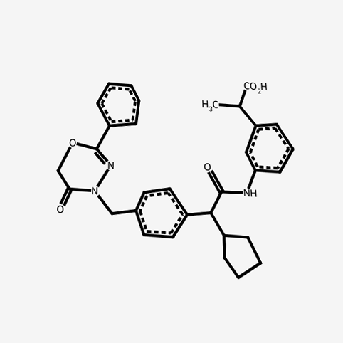 CC(C(=O)O)c1cccc(NC(=O)C(c2ccc(CN3N=C(c4ccccc4)OCC3=O)cc2)C2CCCC2)c1